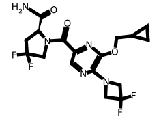 NC(=O)[C@@H]1CC(F)(F)CN1C(=O)c1cnc(N2CC(F)(F)C2)c(OCC2CC2)n1